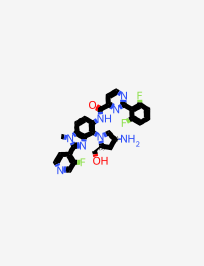 Cn1c(-c2ccncc2F)nc2c(N3C[C@H](N)C[C@H]3CO)c(NC(=O)c3ccnc(-c4c(F)cccc4F)n3)ccc21